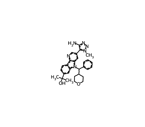 Cn1nnc(N)c1-c1cnc2c3ccc(C(C)(C)O)cc3n(C(c3ccccc3)C3CCOCC3)c2c1